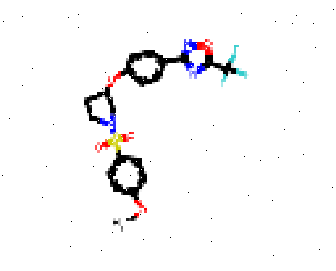 COc1ccc(S(=O)(=O)N2CCC(Oc3ccc(-c4noc(C(F)(F)F)n4)cc3)C2)cc1